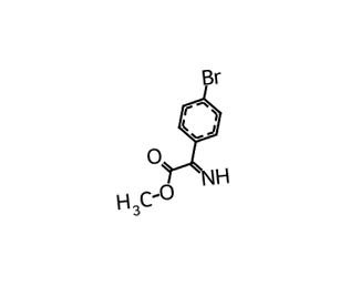 COC(=O)C(=N)c1ccc(Br)cc1